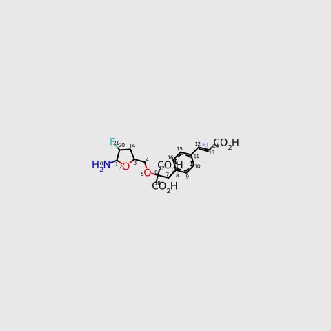 NC1OC(COC(Cc2ccc(/C=C/C(=O)O)cc2)(C(=O)O)C(=O)O)CC1F